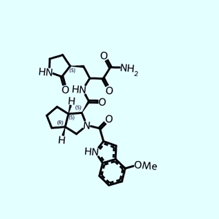 COc1cccc2[nH]c(C(=O)N3C[C@@H]4CCC[C@@H]4[C@H]3C(=O)NC(C[C@@H]3CCNC3=O)C(=O)C(N)=O)cc12